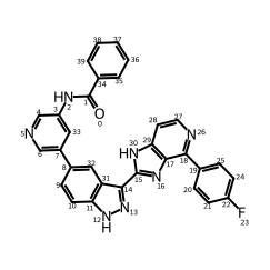 O=C(Nc1cncc(-c2ccc3[nH]nc(-c4nc5c(-c6ccc(F)cc6)nccc5[nH]4)c3c2)c1)c1ccccc1